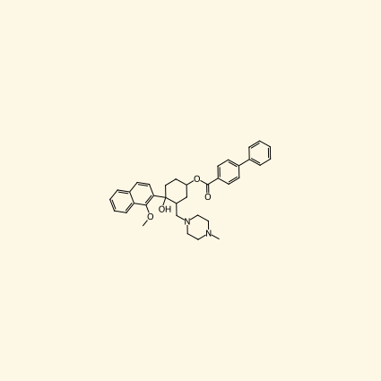 COc1c(C2(O)CCC(OC(=O)c3ccc(-c4ccccc4)cc3)CC2CN2CCN(C)CC2)ccc2ccccc12